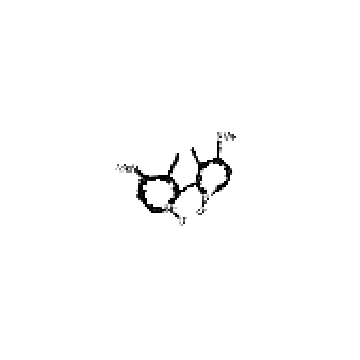 CNc1cc[n+]([O-])c(-c2c(C)c(NC)cc[n+]2[O-])c1C